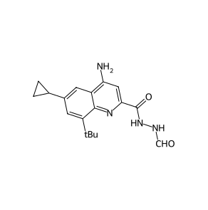 CC(C)(C)c1cc(C2CC2)cc2c(N)cc(C(=O)NNC=O)nc12